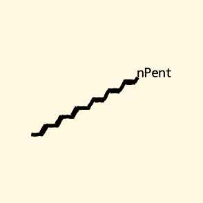 CC=CC=CC=CCC=CC=CC=CCCCCC